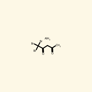 CC(=O)CC(=O)C(Br)(Br)Br.[AlH3]